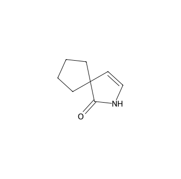 O=C1NC=CC12CCCC2